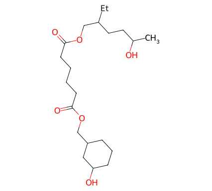 CCC(CCC(C)O)COC(=O)CCCCC(=O)OCC1CCCC(O)C1